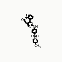 CC1CCN(S(=O)(=O)c2ccc(Nc3ncc4c(n3)-c3ccccc3NC(=O)C4)cc2)CC1